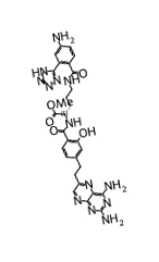 COC(=O)[C@H](CCCNC(=O)c1ccc(N)cc1-c1nnn[nH]1)NC(=O)c1ccc(CCc2cnc3nc(N)nc(N)c3n2)cc1O